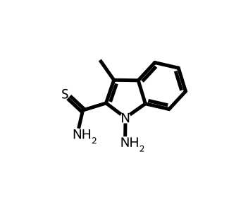 Cc1c(C(N)=S)n(N)c2ccccc12